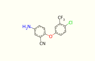 N#Cc1cc(N)ccc1Oc1ccc(Cl)c(C(F)(F)F)c1